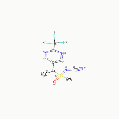 CC(c1cnc(C(F)(F)F)nc1)S(C)(=O)=NC#N